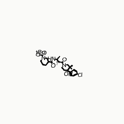 CC(NC(=O)C1CCCN(C(=O)OC(C)(C)C)C1)[C@@H](C)C(=O)N1CC[C@](O)(c2ccc(Cl)cc2)C(C)(C)C1